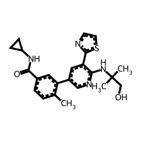 Cc1ccc(C(=O)NC2CC2)cc1-c1cnc(NC(C)(C)CO)c(-c2nccs2)c1